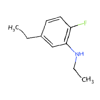 CCNc1cc(CC)ccc1F